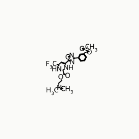 CN(C)CCOC(=O)CN/C(=C\C(=N)C(F)(F)F)c1nc(-c2cccc(S(C)(=O)=O)c2)no1